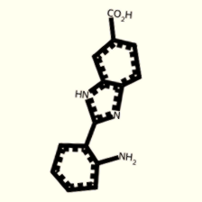 Nc1ccccc1-c1nc2ccc(C(=O)O)cc2[nH]1